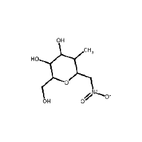 CC1C(C[N+](=O)[O-])OC(CO)C(O)C1O